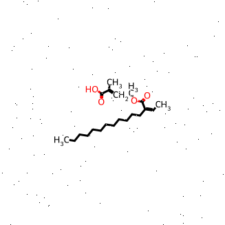 C=C(C)C(=O)O.CC=C(CCCCCCCCCCCC)C(=O)OC